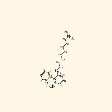 Cc1ccccc1-c1c(Cl)cccc1OCCCCCCCCN(C)C